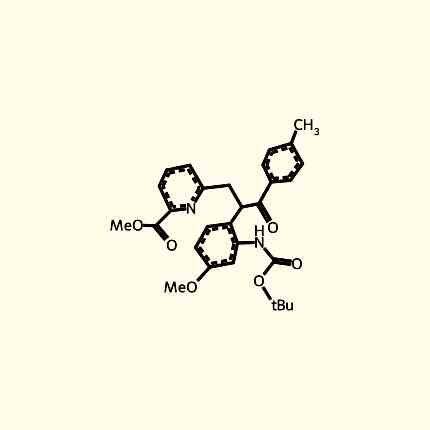 COC(=O)c1cccc(CC(C(=O)c2ccc(C)cc2)c2ccc(OC)cc2NC(=O)OC(C)(C)C)n1